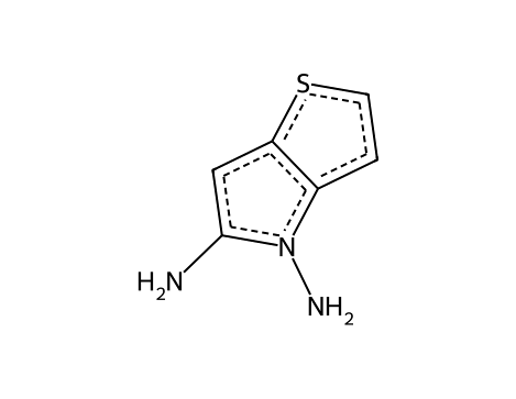 Nc1cc2sccc2n1N